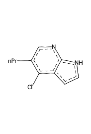 CCCc1cnc2[nH]ccc2c1Cl